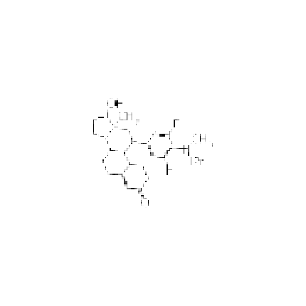 CC(C)N(C)c1c(F)cc(C2CC3(C)C(O)CCC3C3CCC4=CC(=O)CCC4C23)cc1F